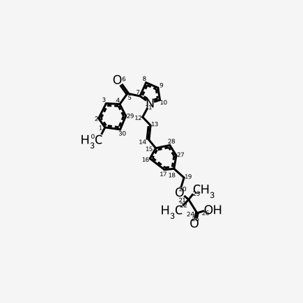 Cc1ccc(C(=O)c2cccn2CC=Cc2ccc(COC(C)(C)C(=O)O)cc2)cc1